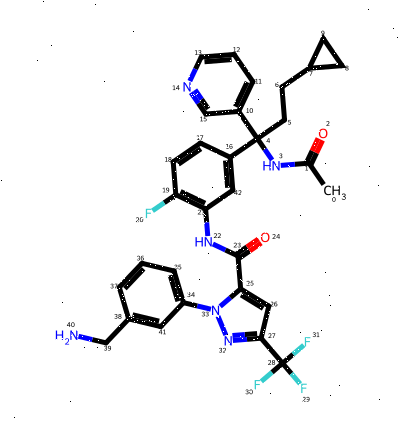 CC(=O)NC(CCC1CC1)(c1cccnc1)c1ccc(F)c(NC(=O)c2cc(C(F)(F)F)nn2-c2cccc(CN)c2)c1